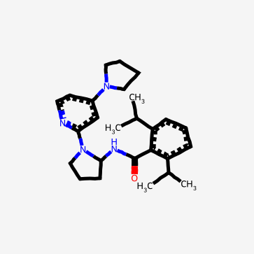 CC(C)c1cccc(C(C)C)c1C(=O)NC1CCCN1c1cc(N2CCCC2)ccn1